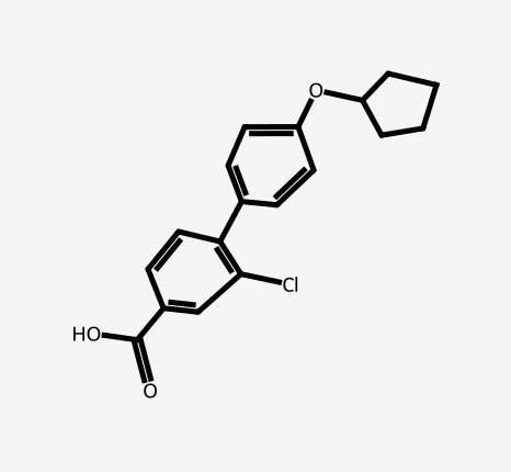 O=C(O)c1ccc(-c2ccc(OC3CCCC3)cc2)c(Cl)c1